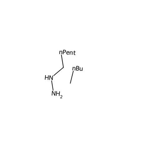 CCCCC.CCCCCCNN